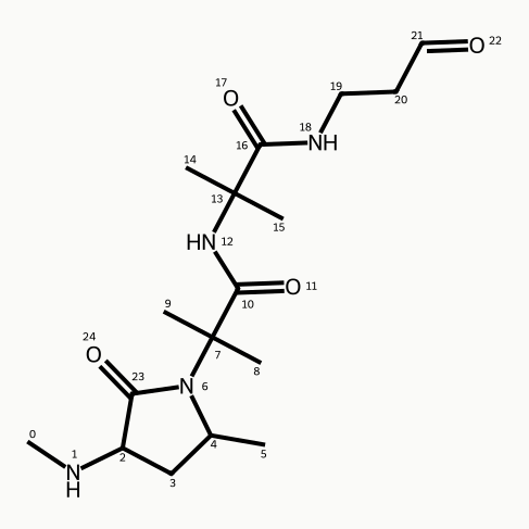 CNC1CC(C)N(C(C)(C)C(=O)NC(C)(C)C(=O)NCCC=O)C1=O